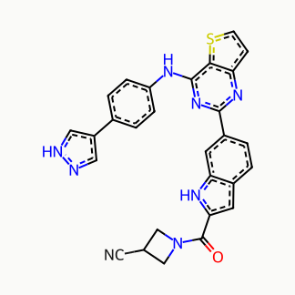 N#CC1CN(C(=O)c2cc3ccc(-c4nc(Nc5ccc(-c6cn[nH]c6)cc5)c5sccc5n4)cc3[nH]2)C1